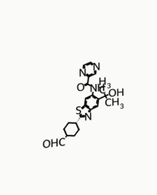 CC(C)(O)c1cc2nc([C@H]3CC[C@H](C=O)CC3)sc2cc1NC(=O)c1cnccn1